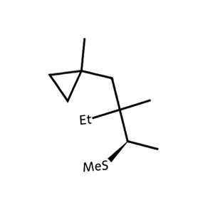 CCC(C)(CC1(C)CC1)[C@@H](C)SC